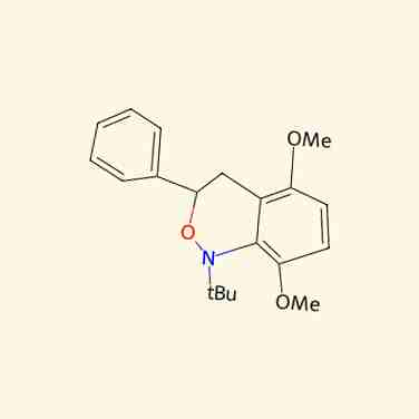 COc1ccc(OC)c2c1CC(c1ccccc1)ON2C(C)(C)C